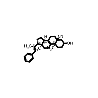 C[C@H](Cc1ccccc1)[C@H]1CC[C@H]2C3=C(CC[C@]12C)[C@@]1(C)CCC(O)CC1(C#N)CC3